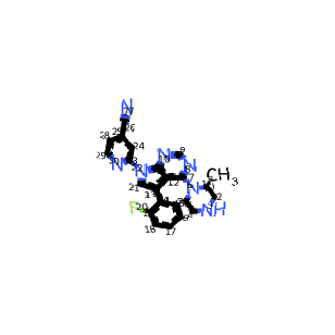 C[C@H]1CNCCN1c1ncnc2c1c(-c1ccccc1F)cn2-c1cc(C#N)ccn1